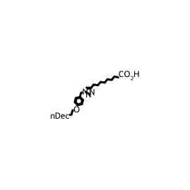 CCCCCCCCCCCCOc1ccc(Cn2cc(CCCCCCCCC(=O)O)nn2)cc1